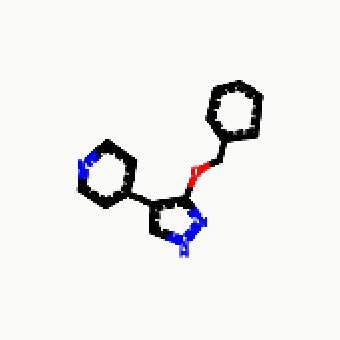 c1ccc(COc2n[nH]cc2-c2ccncc2)cc1